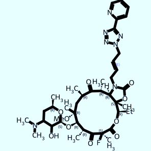 CC[C@H]1OC(=O)[C@@](C)(F)C(=O)[C@H](C)[C@@H](O[C@@H]2O[C@H](C)CC(N(C)C)C2O)[C@](C)(OC)C[C@@H](C)C(=O)[C@H](C)[C@H]2N(C/C=C/Cn3nnc(-c4ccccn4)n3)C(=O)O[C@]12C